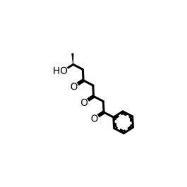 C[C@H](O)CC(=O)CC(=O)CC(=O)c1ccccc1